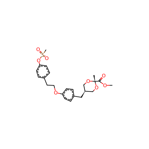 COC(=O)[C@]1(C)OC[C@@H](Cc2ccc(OCCc3ccc(OS(C)(=O)=O)cc3)cc2)CO1